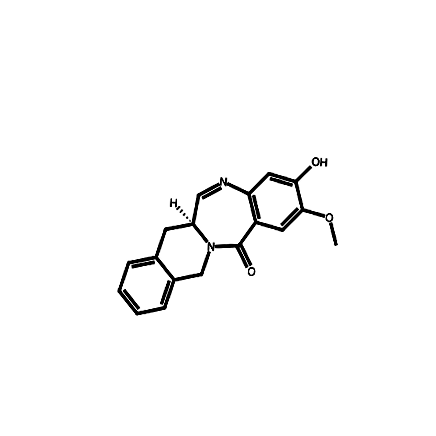 COc1cc2c(cc1O)N=C[C@@H]1Cc3ccccc3CN1C2=O